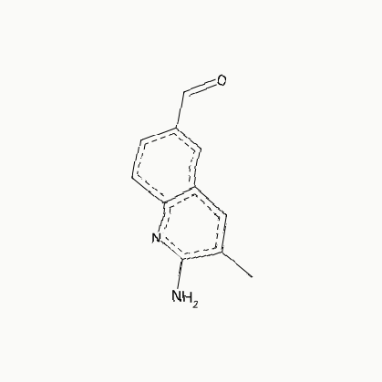 Cc1cc2cc(C=O)ccc2nc1N